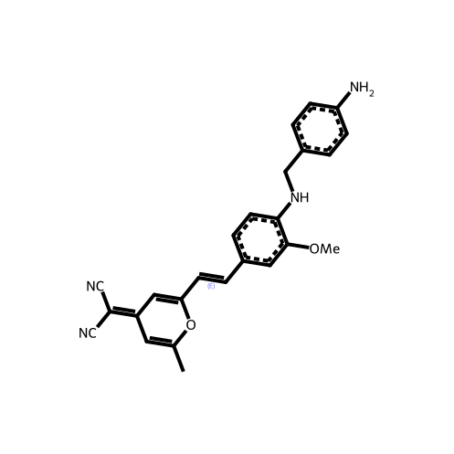 COc1cc(/C=C/C2=CC(=C(C#N)C#N)C=C(C)O2)ccc1NCc1ccc(N)cc1